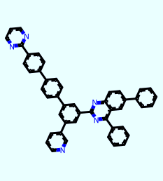 c1ccc(-c2ccc3nc(-c4cc(-c5ccc(-c6ccc(-c7ncccn7)cc6)cc5)cc(-c5cccnc5)c4)nc(-c4ccccc4)c3c2)cc1